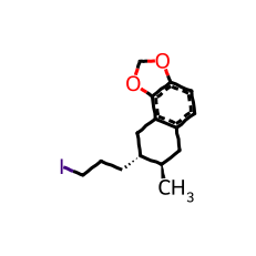 C[C@@H]1Cc2ccc3c(c2C[C@H]1CCCI)OCO3